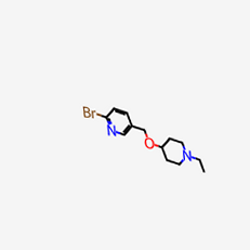 CCN1CCC(OCc2ccc(Br)nc2)CC1